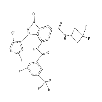 O=C(Nc1cc(C(=O)NC2CC(F)(F)C2)cc2c1C(c1cc(F)ccc1Cl)=NC2=O)c1cc(F)cc(C(F)(F)F)c1